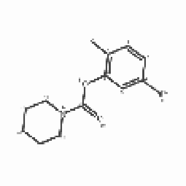 Cc1ccc(C(C)C)cc1OC(=O)N1CCCCC1